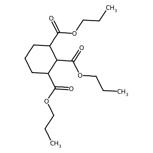 CCCOC(=O)C1CCCC(C(=O)OCCC)C1C(=O)OCCC